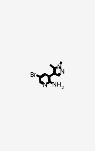 Cc1c(-c2cc(Br)cnc2N)cnn1C